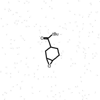 CC(C)(C)C(=O)C1CCC2OC2C1